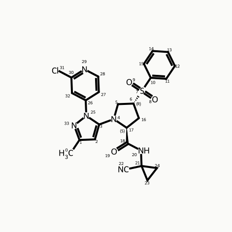 Cc1cc(N2C[C@H](S(=O)(=O)c3ccccc3)C[C@H]2C(=O)NC2(C#N)CC2)n(-c2ccnc(Cl)c2)n1